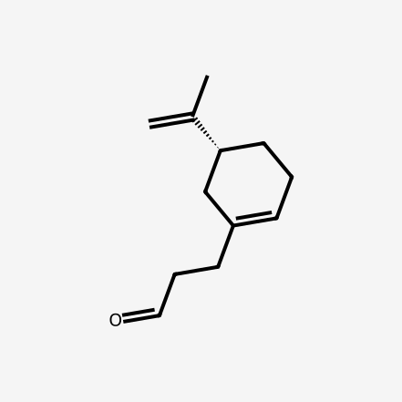 C=C(C)[C@@H]1CCC=C(CCC=O)C1